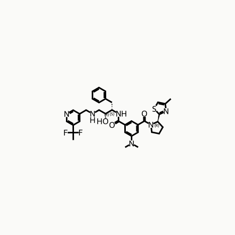 Cc1csc([C@H]2CCCN2C(=O)c2cc(C(=O)N[C@@H](Cc3ccccc3)[C@H](O)CNCc3cncc(C(C)(F)F)c3)cc(N(C)C)c2)n1